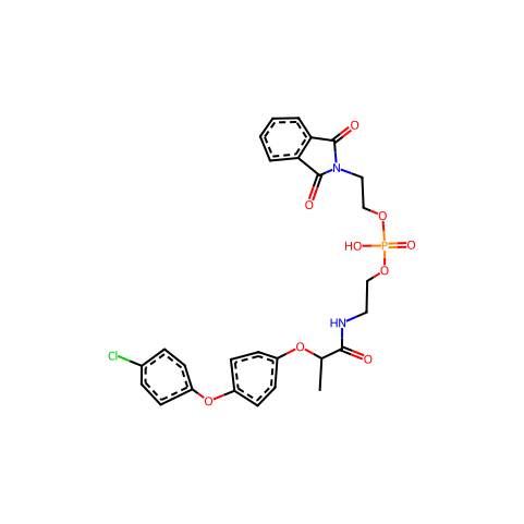 CC(Oc1ccc(Oc2ccc(Cl)cc2)cc1)C(=O)NCCOP(=O)(O)OCCN1C(=O)c2ccccc2C1=O